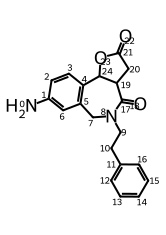 Nc1ccc2c(c1)CN(CCc1ccccc1)C(=O)C1CC(=O)OC21